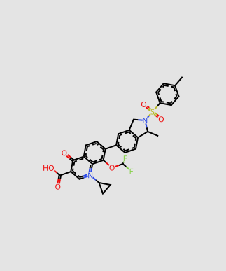 Cc1ccc(S(=O)(=O)N2Cc3cc(-c4ccc5c(=O)c(C(=O)O)cn(C6CC6)c5c4OC(F)F)ccc3C2C)cc1